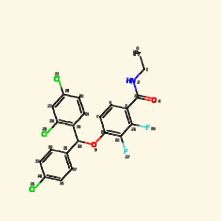 CC(C)CNC(=O)c1ccc(OC(c2ccc(Cl)cc2)c2ccc(Cl)cc2Cl)c(F)c1F